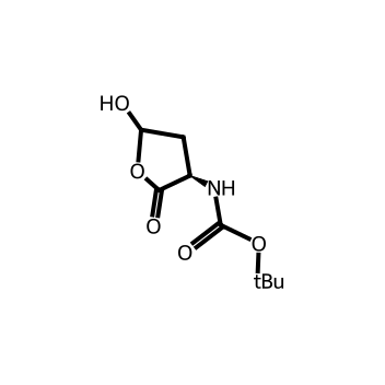 CC(C)(C)OC(=O)N[C@@H]1CC(O)OC1=O